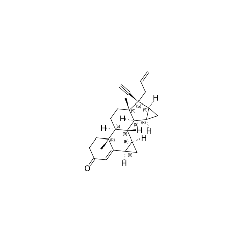 C#C[C@@]1(CC=C)[C@H]2C[C@H]2[C@H]2[C@@H]3[C@H]4C[C@H]4C4=CC(=O)CC[C@]4(C)[C@H]3CC[C@@]21C